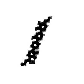 CCCC(O)c1ccc(C2CC=C(c3ccc(-c4ccc(OCC)c(F)c4F)cc3F)CC2)c(F)c1F